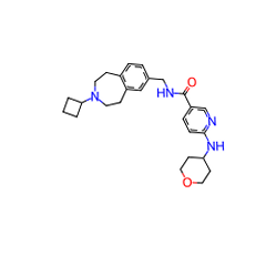 O=C(NCc1ccc2c(c1)CCN(C1CCC1)CC2)c1ccc(NC2CCOCC2)nc1